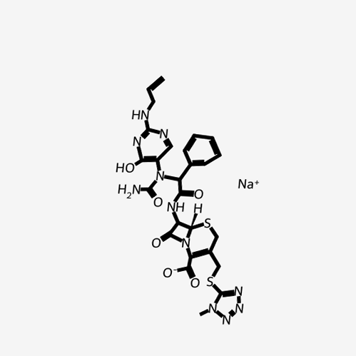 C=CCNc1ncc(N(C(N)=O)C(C(=O)NC2C(=O)N3C(C(=O)[O-])=C(CSc4nnnn4C)CS[C@@H]23)c2ccccc2)c(O)n1.[Na+]